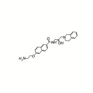 NCCOc1ccc2cc(C(=O)NC[C@H](O)CN3CCc4ccccc4C3)ccc2c1